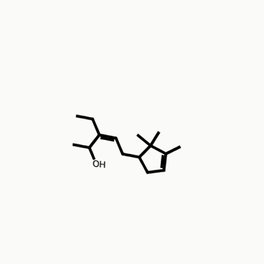 CCC(=CCC1CC=C(C)C1(C)C)C(C)O